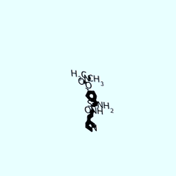 CN(C)C(=O)OC[C@@H]1CCc2c(sc(NC(=O)/C=C/c3cccnc3)c2N)C1